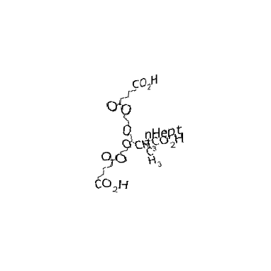 CC(COCCOC(=O)CCCCC(=O)O)OCCOC(=O)CCCCC(=O)O.CCCCCCCC1(C(=O)O)CC1C